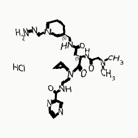 CN(C)CC(=O)N[C@@H](CC(=O)NC[C@@H]1CCCN(C=NN)C1)C(=O)N(CCNC(=O)c1cnccn1)C1CC1.Cl